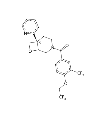 O=C(c1ccc(OCC(F)(F)F)c(C(F)(F)F)c1)N1CC[C@@]2(c3ccccn3)COC2C1